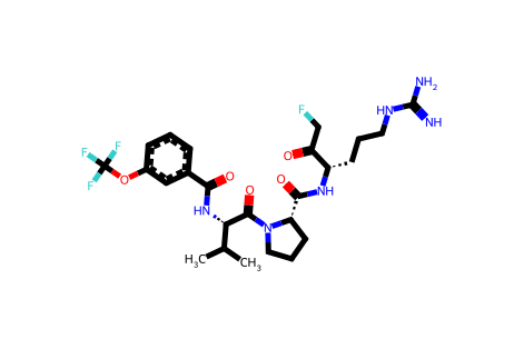 CC(C)[C@H](NC(=O)c1cccc(OC(F)(F)F)c1)C(=O)N1CCC[C@H]1C(=O)N[C@@H](CCCNC(=N)N)C(=O)CF